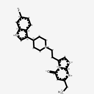 CCc1cc(=O)n2c(CCN3CCC(c4coc5cc(F)ccc45)CC3)csc2n1